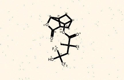 CCC(C)(CC(O)(C(F)(F)F)C(F)(F)F)C(=O)OC1C2CC3C(=O)OC1C3C2